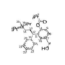 CC(C)C(=O)Oc1ccc(CO)cc1[C@H](CC[N+](C)(C(C)C)C(C)C)c1ccccc1